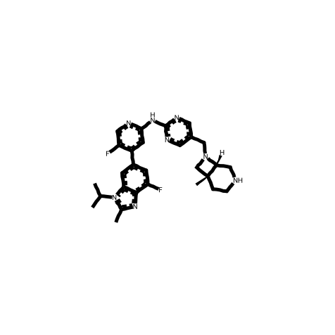 Cc1nc2c(F)cc(-c3cc(Nc4ncc(CN5C[C@@]6(C)CCNC[C@@H]56)cn4)ncc3F)cc2n1C(C)C